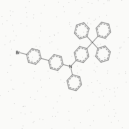 Brc1ccc(-c2ccc(N(c3ccccc3)c3ccc(C(c4ccccc4)(c4ccccc4)c4ccccc4)cc3)cc2)cc1